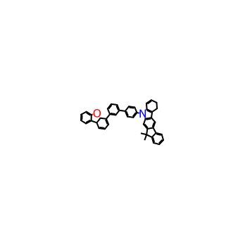 CC1(C)c2ccccc2-c2cc3c4c(n(-c5ccc(-c6cccc(C7=CC=CC8c9ccccc9OC78)c6)cc5)c3cc21)C=CCC4